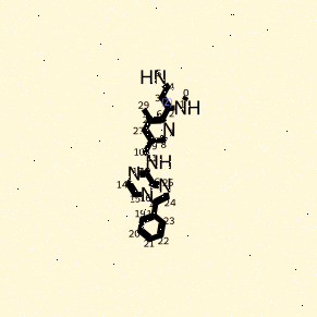 CN/C(=C\C=N)c1ncc(CNc2nccn3c(-c4ccccc4)cnc23)cc1C